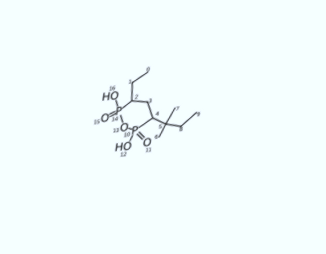 CCC1CC(C(C)(C)CC)P(=O)(O)OP1(=O)O